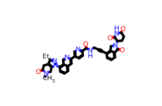 CCc1nn(-c2cccc3cc(-c4ccc(C(=O)NCC#Cc5cccc6c5CN(C5CCC(=O)NC5=O)C6=O)nc4)ncc23)c2c1CC(=O)N(C)C2